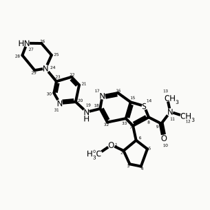 COC1CCCC1c1c(C(=O)N(C)C)sc2cnc(Nc3ccc(N4CCNCC4)cn3)cc12